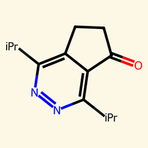 CC(C)c1nnc(C(C)C)c2c1CCC2=O